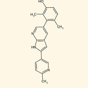 Cc1ccc(-c2cc3cc(-c4c(C)ccc(O)c4C)cnc3[nH]2)cn1